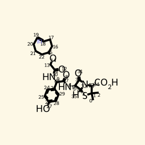 CC1(C)S[C@@H]2[C@H](NC(=O)[C@H](NC(=O)COC3CC/C=C/CCC3)c3ccc(O)cc3)C(=O)N2[C@H]1C(=O)O